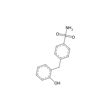 NS(=O)(=O)c1ccc(Cc2ccccc2O)cc1